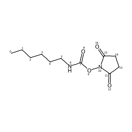 CCCCCCNC(=O)ON1C(=O)CCC1=O